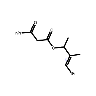 CCCC(=O)CC(=O)OC(C)/C(C)=C/C(C)C